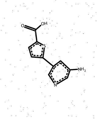 Nc1cncc(-c2ccc(C(=O)O)s2)c1